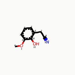 COc1cccc(CC#N)c1O